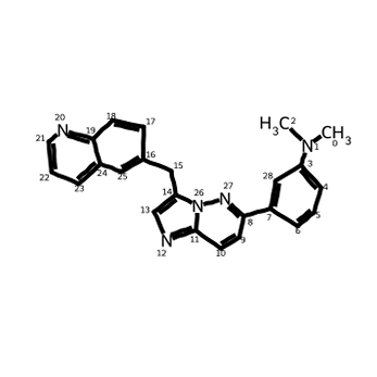 CN(C)c1cccc(-c2ccc3ncc(Cc4ccc5ncccc5c4)n3n2)c1